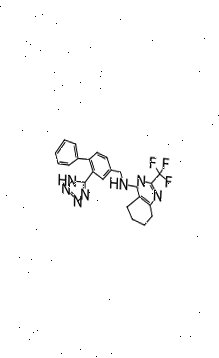 FC(F)(F)c1nc2c(c(NCc3ccc(-c4ccccc4)c(-c4nnn[nH]4)c3)n1)CCCC2